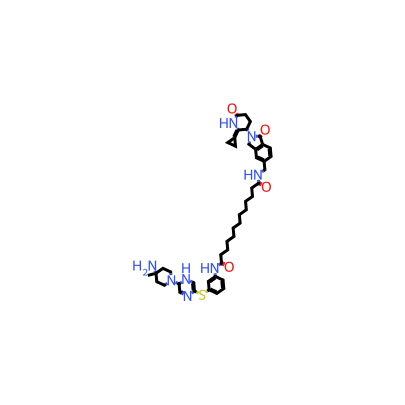 CC1(N)CCN(C2C=NC(Sc3cccc(NC(=O)CCCCCCCCCCCC(=O)NCc4ccc5c(c4)CN(C4CCC(=O)NC4=C4CC4)C5=O)c3)=CN2)CC1